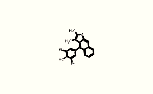 CCc1cc(-c2c3ccccc3cc3sc(C)c(C)c23)cc(CC)c1O